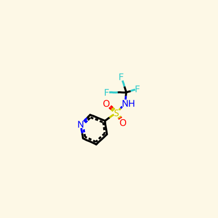 O=S(=O)(NC(F)(F)F)c1cccnc1